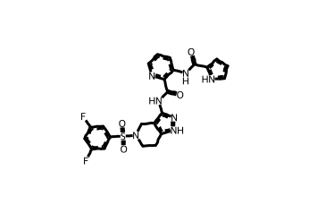 O=C(Nc1cccnc1C(=O)Nc1n[nH]c2c1CN(S(=O)(=O)c1cc(F)cc(F)c1)CC2)c1ccc[nH]1